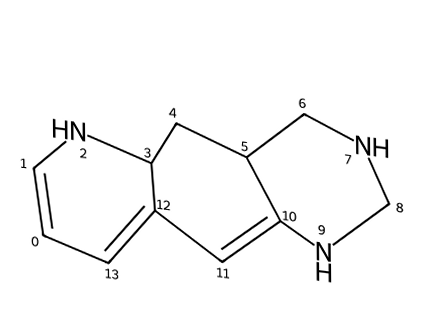 C1=CNC2CC3CNCNC3=CC2=C1